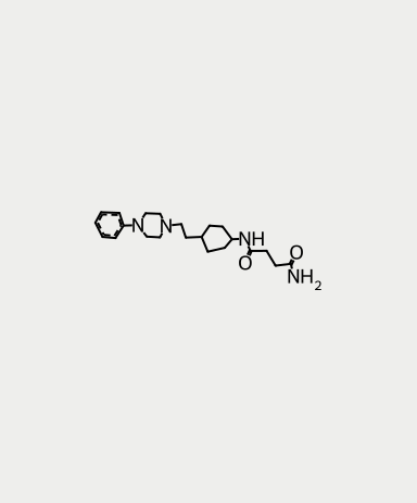 NC(=O)CCC(=O)NC1CCC(CCN2CCN(c3ccccc3)CC2)CC1